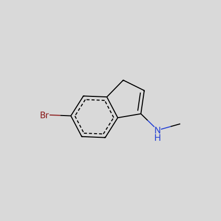 CNC1=CCc2cc(Br)ccc21